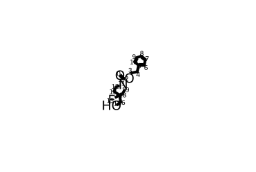 O=C(OCCc1ccccc1)N1CCC(F)(CO)CC1